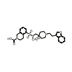 CN(CC1(O)CCN(CCc2coc3ccccc23)CC1)S(=O)(=O)c1cccc2c1CCN(C(=O)O)C2